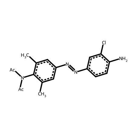 CC(=O)N(C(C)=O)c1c(C)cc(N=Nc2ccc(N)c(Cl)c2)cc1C